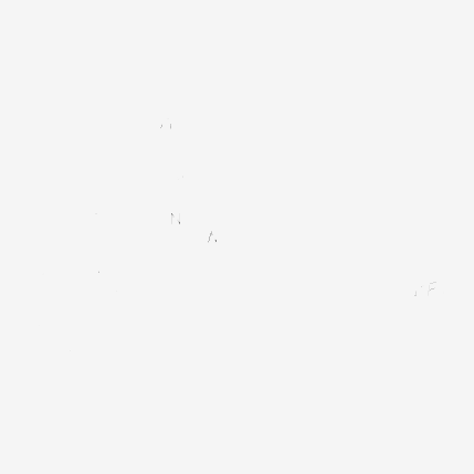 O=C1CN(Cc2ccc(C(F)(F)F)cc2)N1C1C2CC3CC(C2)CC1C3